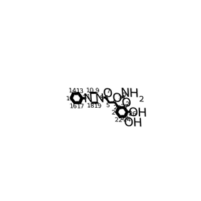 NC(=O)OC(CC(=O)N1CCN(c2ccccc2)CC1)c1ccc(O)c(O)c1